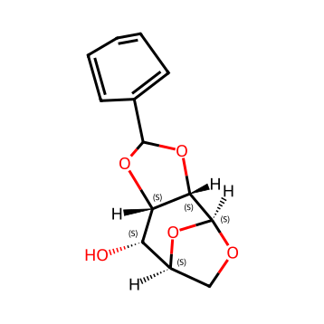 O[C@@H]1[C@@H]2OC(c3ccccc3)O[C@@H]2[C@H]2OC[C@@H]1O2